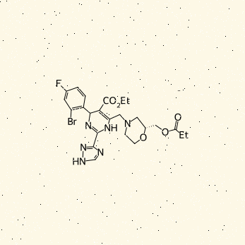 CCOC(=O)C1=C(CN2CCO[C@@H](COC(=O)CC)C2)NC(c2nc[nH]n2)=NC1c1ccc(F)cc1Br